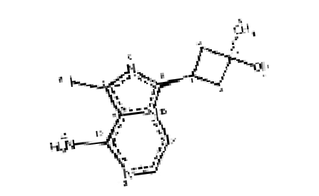 C[C@]1(O)C[C@@H](c2nc(I)c3c(N)nccn32)C1